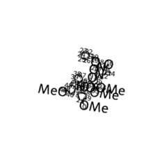 COc1ccc(C(OC[C@H]2O[C@@H](n3cc(C)c(=O)n(COCc4ccccc4)c3=O)C[C@@]2(O)C(OC)OC)(c2ccccc2)c2ccc(OC)cc2)cc1